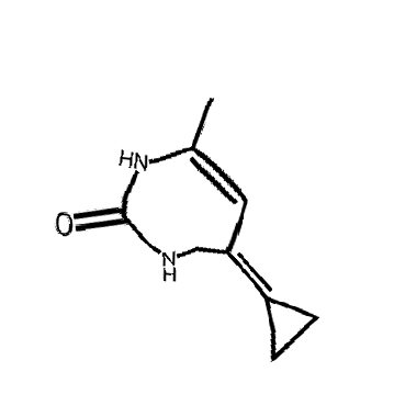 CC1=CC(=C2CC2)NC(=O)N1